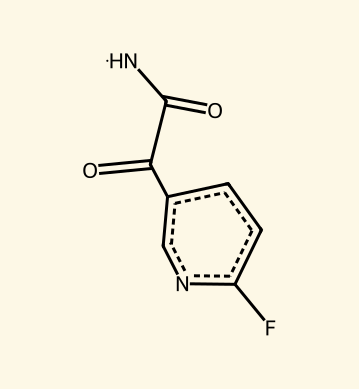 [NH]C(=O)C(=O)c1ccc(F)nc1